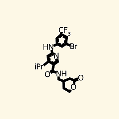 CC(C)c1cc(Nc2cc(Br)cc(C(F)(F)F)c2)ncc1C(=O)NCC1CCOC(=O)C1